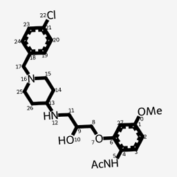 COc1ccc(NC(C)=O)c(OCC(O)CNC2CCN(Cc3ccc(Cl)cc3)CC2)c1